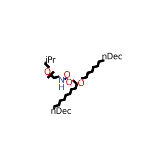 CCCCCCCCCCCCCCCCCCOC(CCCCCCCCCCCCCCCCCC)COC(=O)NCCC(C)(C)OCCC(C)C